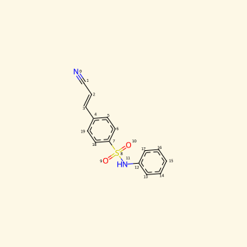 N#C/C=C/c1ccc(S(=O)(=O)Nc2ccccc2)cc1